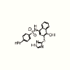 CCCc1ccc(S(=O)(=O)Nc2cc(Sc3nc[nH]n3)c(O)c3ccccc23)cc1